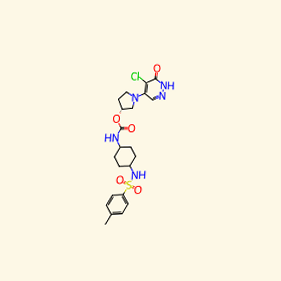 Cc1ccc(S(=O)(=O)NC2CCC(NC(=O)O[C@@H]3CCN(c4cn[nH]c(=O)c4Cl)C3)CC2)cc1